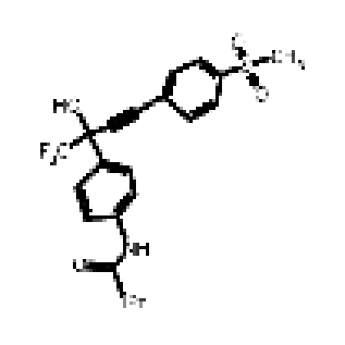 CC(C)C(=O)Nc1ccc(C(O)(C#Cc2ccc(S(C)(=O)=O)cc2)C(F)(F)F)cc1